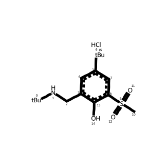 CC(C)(C)NCc1cc(C(C)(C)C)cc(S(C)(=O)=O)c1O.Cl